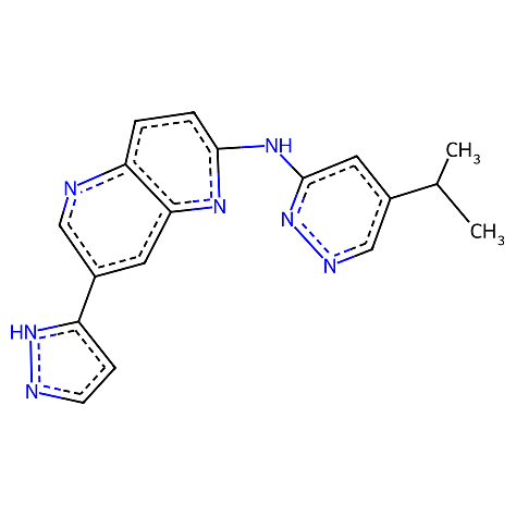 CC(C)c1cnnc(Nc2ccc3ncc(-c4ccn[nH]4)cc3n2)c1